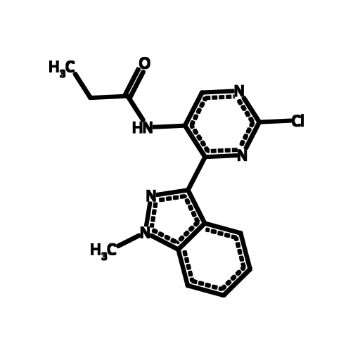 CCC(=O)Nc1cnc(Cl)nc1-c1nn(C)c2ccccc12